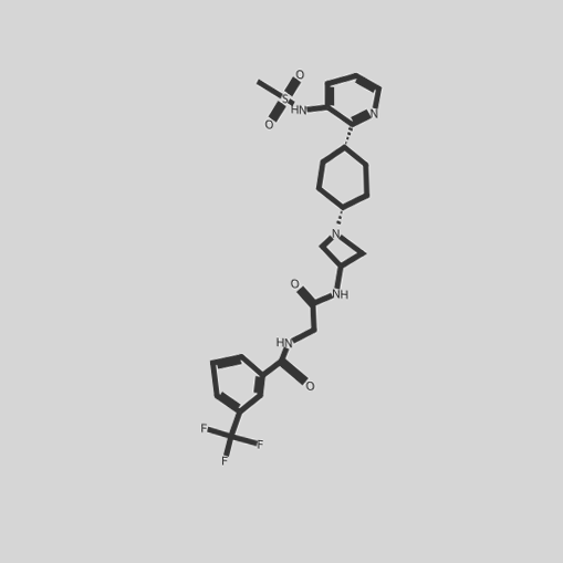 CS(=O)(=O)Nc1cccnc1[C@H]1CC[C@@H](N2CC(NC(=O)CNC(=O)c3cccc(C(F)(F)F)c3)C2)CC1